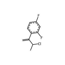 C=C(c1ccc(F)cc1F)C(C)Cl